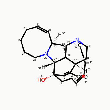 O=CC1=C[C@@]2(O)CC/C=C/CCCCN3CC[C@@H]1[C@]1(C[C@@H]4/C=C\CCCCN4[C@H]12)C3